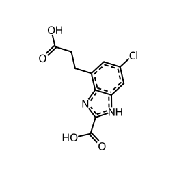 O=C(O)CCc1cc(Cl)cc2[nH]c(C(=O)O)nc12